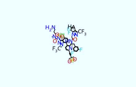 CN(CCCN)C(=O)N(c1nn(CC(F)(F)F)c2c(-c3ccc(C#CC(C)(C)S(C)(=O)=O)nc3[C@H](Cc3cc(F)cc(F)c3)NC(=O)Cn3nc(C(F)(F)F)c4c3C(F)(F)[C@@H]3CC43)ccc(Cl)c12)S(C)(=O)=O